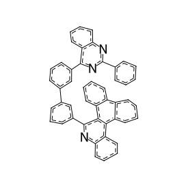 c1ccc(-c2nc(-c3cccc(-c4cccc(-c5nc6ccccc6c6c7ccccc7c7ccccc7c56)c4)c3)c3ccccc3n2)cc1